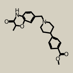 COC(=O)c1ccc(C2CCN(Cc3ccc4c(c3)OC(C)C(=O)N4)CC2)cc1